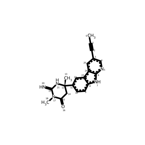 CC#Cc1cnc2[nH]c3ccc([C@]4(C)CC(=O)N(C)C(=N)N4)cc3c2c1